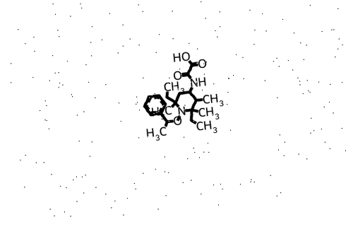 CCC1(C)CC(NC(=O)C(=O)O)C(C)C(C)(CC)N1OC(C)c1ccccc1